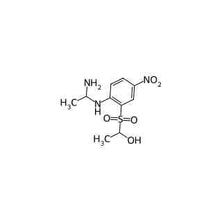 CC(N)Nc1ccc([N+](=O)[O-])cc1S(=O)(=O)C(C)O